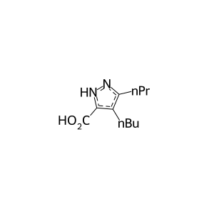 CCCCc1c(CCC)n[nH]c1C(=O)O